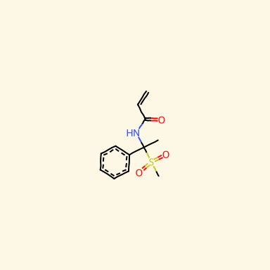 C=CC(=O)NC(C)(c1ccccc1)S(C)(=O)=O